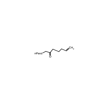 C=CCCCC(=O)CCCCCC